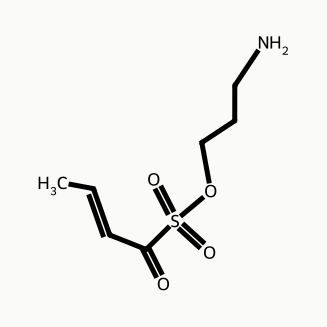 CC=CC(=O)S(=O)(=O)OCCCN